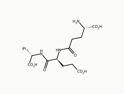 CC(C)[C@H](NC(=O)[C@H](CCC(=O)O)NC(=O)CC[C@H](N)C(=O)O)C(=O)O